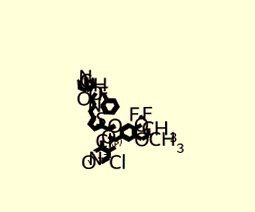 CC(C)Oc1cc([C@H](Cc2c(Cl)c[n+]([O-])cc2Cl)OC(=O)c2ccc(CN(C(=O)O[C@H]3CN4CCC3CC4)c3ccccc3F)s2)ccc1OC(F)F